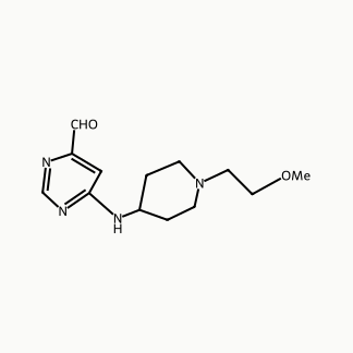 COCCN1CCC(Nc2cc(C=O)ncn2)CC1